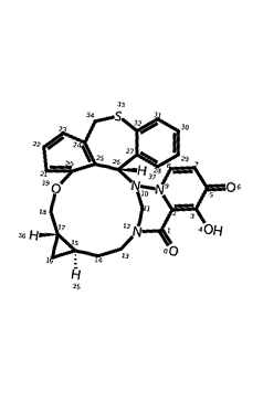 O=C1c2c(O)c(=O)ccn2N2CN1CC[C@H]1C[C@@H]1COc1cccc3c1[C@@H]2c1ccccc1SC3